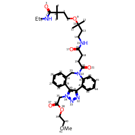 CCNC(=O)C(C)(C)CCOC(C)(C)CCNC(=O)CCC(=O)N1Cc2ccccc2-c2c(nnn2CC(=O)OCCOC)-c2ccccc21